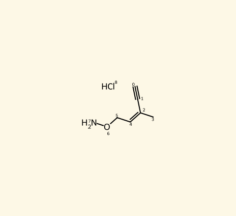 C#CC(C)=CCON.Cl